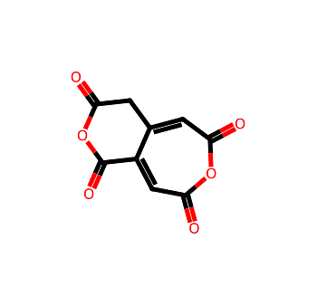 O=C1Cc2cc(=O)oc(=O)cc2C(=O)O1